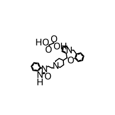 O=C(O)C(=O)O.O=c1[nH]c2ccccc2n1CCN1CCC(C2Oc3ccccc3Cn3cccc32)CC1